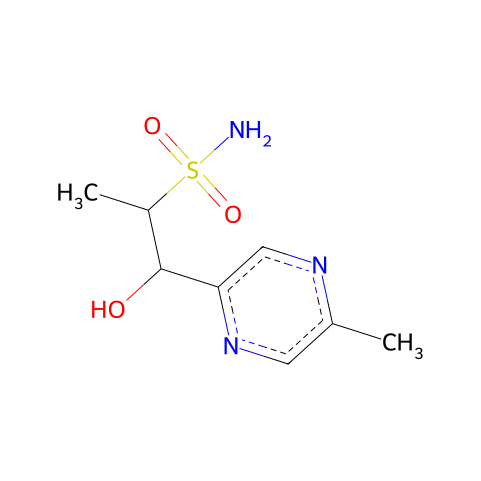 Cc1cnc(C(O)C(C)S(N)(=O)=O)cn1